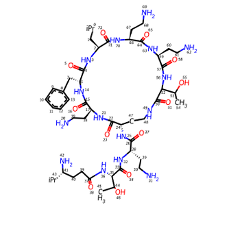 CC(C)C[C@@H]1NC(=O)[C@@H](Cc2ccccc2)NC(=O)[C@H](CCN)NC(=O)[C@@H](NC(=O)[C@H](CCN)NC(=O)[C@@H](NC(=O)CC[C@@H](N)C(C)C)C(C)O)CCNC(=O)C(C(C)O)NC(=O)[C@H](CCN)NC(=O)[C@H](CCN)NC1=O